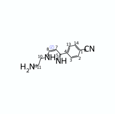 N#Cc1ccc(C(=N)/C=C\NCCN)cc1